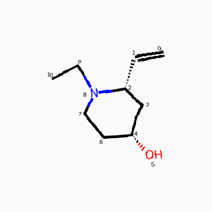 C=C[C@@H]1C[C@H](O)CCN1CC